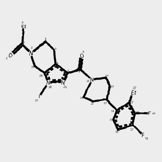 CCC(=O)N1CCc2c(C(=O)N3CCC(c4ccc(F)c(F)c4CC)CC3)nn(I)c2C1